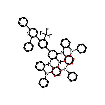 FC(F)(F)c1cc(-c2cc(N3c4ccccc4N(c4ccccc4)c4ccccc43)c(N3c4ccccc4N(c4ccccc4)c4ccccc43)c(N3c4ccccc4N(c4ccccc4)c4ccccc43)c2)ccc1-c1ccc(-c2ccccc2)nc1-c1ccccc1